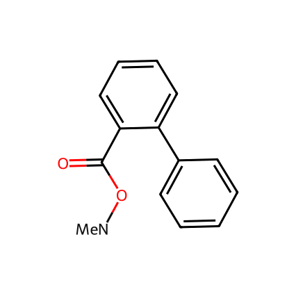 CNOC(=O)c1ccccc1-c1ccccc1